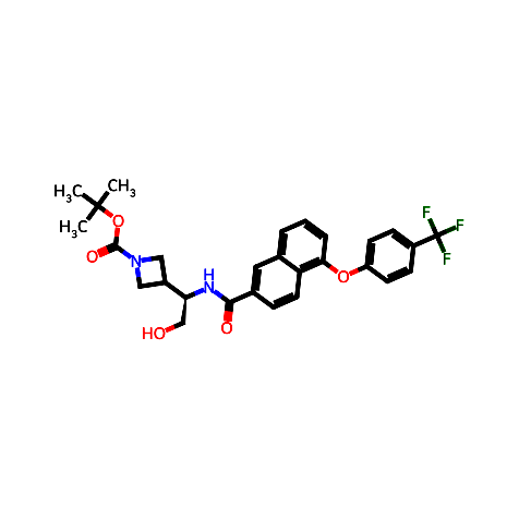 CC(C)(C)OC(=O)N1CC([C@H](CO)NC(=O)c2ccc3c(Oc4ccc(C(F)(F)F)cc4)cccc3c2)C1